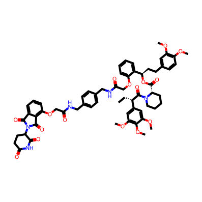 CC[C@H](C(=O)N1CCCC[C@H]1C(=O)O[C@H](CCc1ccc(OC)c(OC)c1)c1ccccc1OCC(=O)NCc1ccc(CNC(=O)COc2cccc3c2C(=O)N(C2CCC(=O)NC2=O)C3=O)cc1)c1cc(OC)c(OC)c(OC)c1